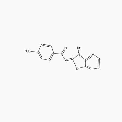 CCN1/C(=C\C(=O)c2ccc(C)cc2)Sc2ccccc21